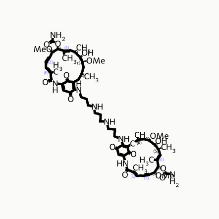 COC1C[C@H](C)CC2=C(NCCCNCCCNCCCNC3=C4C[C@@H](C)C[C@H](OC)[C@H](O)[C@@H](C)/C=C(\C)[C@H](OC(N)=O)[C@@H](OC)/C=C\C=C(/C)C(=O)NC(=CC3=O)C4=O)C(=O)C=C(NC(=O)/C(C)=C/C=C\[C@H](OC)[C@@H](OC(N)=O)/C(C)=C/[C@H](C)[C@H]1O)C2=O